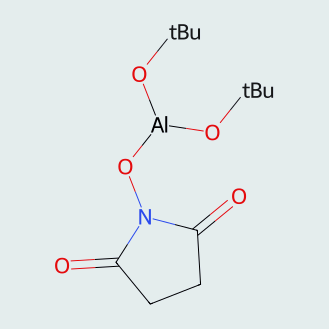 CC(C)(C)[O][Al]([O]N1C(=O)CCC1=O)[O]C(C)(C)C